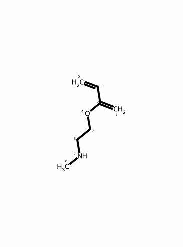 C=CC(=C)OCCNC